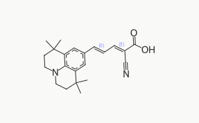 CC1(C)CCN2CCC(C)(C)c3cc(/C=C/C=C(\C#N)C(=O)O)cc1c32